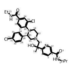 CCCNC(=O)c1ccc([C@](C)(O)CN2CCN(c3ccc(C(=O)NCC)cc3Cl)[C@H](c3ccc(Cl)cc3)C2)nc1